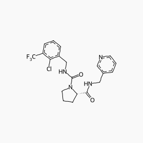 O=C(NCc1cccnc1)[C@@H]1CCCN1C(=O)NCc1cccc(C(F)(F)F)c1Cl